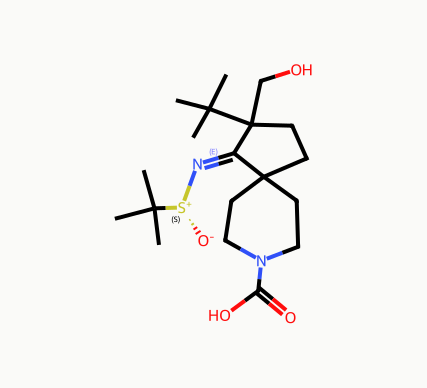 CC(C)(C)[S@@+]([O-])/N=C1\C2(CCN(C(=O)O)CC2)CCC1(CO)C(C)(C)C